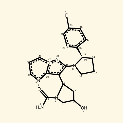 NC(=O)N1CC(O)CC1c1c(N2CCC[C@@H]2c2ccc(F)cn2)nn2cccnc12